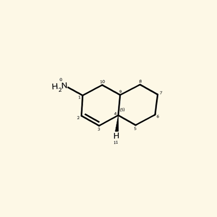 NC1C=C[C@H]2CCCCC2C1